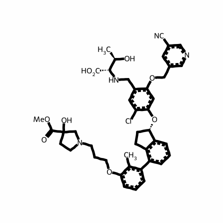 COC(=O)C1(O)CCN(CCCOc2cccc(-c3cccc4c3CC[C@@H]4Oc3cc(OCc4cncc(C#N)c4)c(CN[C@H](C(=O)O)[C@@H](C)O)cc3Cl)c2C)C1